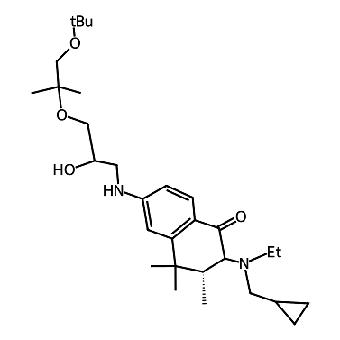 CCN(CC1CC1)C1C(=O)c2ccc(NCC(O)COC(C)(C)COC(C)(C)C)cc2C(C)(C)[C@H]1C